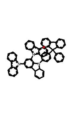 C1=CC2c3cc(-n4c5ccccc5c5ccccc54)cc(-n4c5ccccc5c5ccccc54)c3N(c3ccc(C4(c5ccccc5)c5ccccc5-c5ccccc54)cc3)C2C=C1